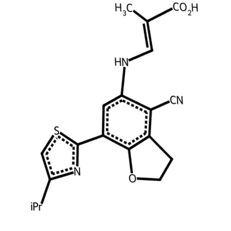 CC(=CNc1cc(-c2nc(C(C)C)cs2)c2c(c1C#N)CCO2)C(=O)O